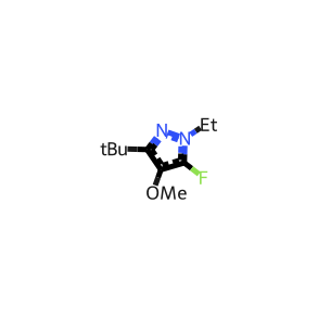 CCn1nc(C(C)(C)C)c(OC)c1F